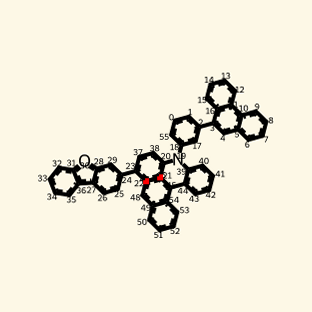 c1cc(-c2cc3ccccc3c3ccccc23)cc(N(c2ccc(-c3ccc4c(c3)oc3ccccc34)cc2)c2ccccc2-c2cccc3ccccc23)c1